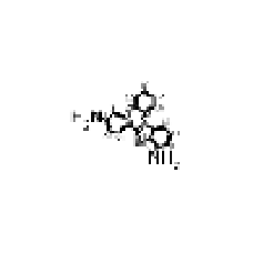 Nc1ccc(-c2nc3c(N)cccc3n2-c2ccccc2)cc1